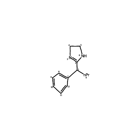 CCCC(C1=NCCN1)c1ccccc1